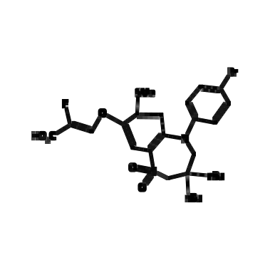 CCCCC1(CCCC)CN(c2ccc(Br)cc2)c2cc(SC)c(O/C=C(\F)C(=O)O)cc2S(=O)(=O)C1